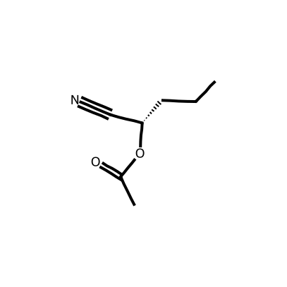 CCC[C@@H](C#N)OC(C)=O